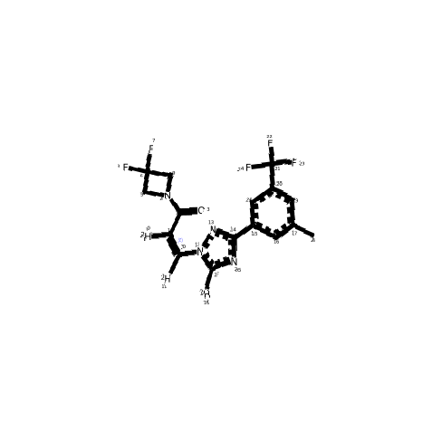 [2H]/C(C(=O)N1CC(F)(F)C1)=C(\[2H])n1nc(-c2cc(C)cc(C(F)(F)F)c2)nc1[2H]